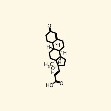 C[C@]12CC[C@H]3[C@@H](CCC4=CC(=O)CC[C@@H]43)[C@@H]1CC[C@@]2(O)/C=C/C(=O)O